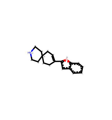 C1=C(c2cc3ccccc3o2)CCC2(C1)CCNCC2